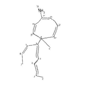 C\C=C/C=C(\C=C/C)C1(C)C=CC=C(N)C=C1